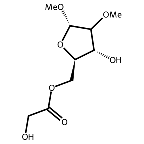 COC1[C@@H](OC)O[C@H](COC(=O)CO)[C@H]1O